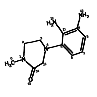 CN1CCN(c2cccc(N)c2N)CC1=O